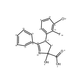 O=C(O)C1(O)CN(c2cccc(Cl)c2F)C(c2ccccc2)=N1